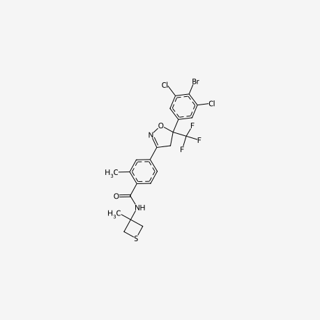 Cc1cc(C2=NOC(c3cc(Cl)c(Br)c(Cl)c3)(C(F)(F)F)C2)ccc1C(=O)NC1(C)CSC1